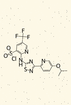 CC(C)Oc1ccc(-c2nsc(Nc3ncc(C(F)(F)F)cc3S(=O)(=O)Cl)n2)nc1